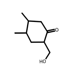 CC1CC(=O)C(CO)CC1C